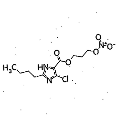 CCCCc1nc(Cl)c(C(=O)OCCCO[N+](=O)[O-])[nH]1